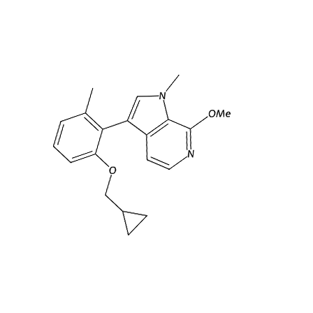 COc1nccc2c(-c3c(C)cccc3OCC3CC3)cn(C)c12